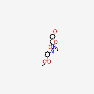 CCOC(=O)c1cccc(/N=C2\O/C(=C/c3ccc(OC)cc3)C(=O)N2CC)c1